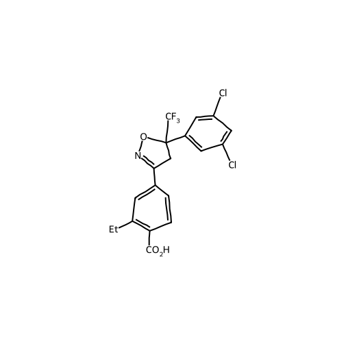 CCc1cc(C2=NOC(c3cc(Cl)cc(Cl)c3)(C(F)(F)F)C2)ccc1C(=O)O